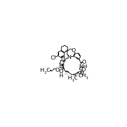 C=CCOC[C@@]1(O)/C=C/C[C@H](C)[C@@H](C)S(=O)(=O)NC(=O)c2ccc3c(c2)N(C[C@@H]2CC[C@H]21)C[C@@]1(CCCc2cc(Cl)ccc21)CO3